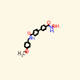 COc1ccc(CNC(=O)c2ccc(-c3ccc(C(=O)NO)cc3)cc2)cc1